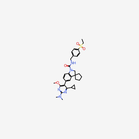 CCS(=O)(=O)c1ccc(CNC(=O)N2CC3(CCCC3)c3cc(-c4c(OC)nc(N(C)C)nc4C4CC4)ccc32)cc1